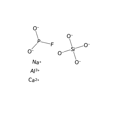 [Al+3].[Ca+2].[Na+].[O-]P([O-])F.[O-][Si]([O-])([O-])[O-]